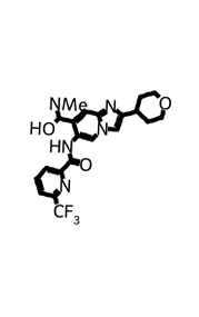 CNC(O)c1cc2nc(C3CCOCC3)cn2cc1NC(=O)c1cccc(C(F)(F)F)n1